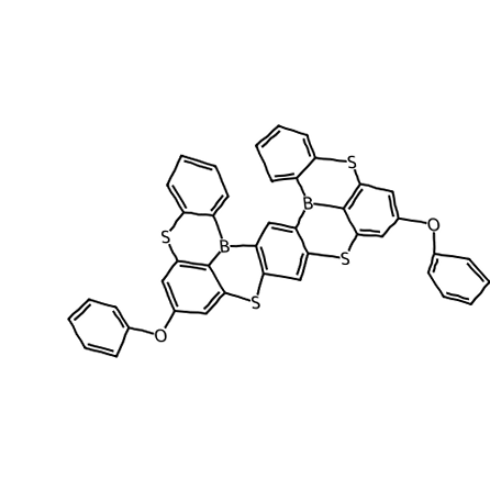 c1ccc(Oc2cc3c4c(c2)Sc2cc5c(cc2B4c2ccccc2S3)B2c3ccccc3Sc3cc(Oc4ccccc4)cc(c32)S5)cc1